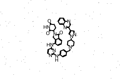 O=C1CCC(N2Cc3c(Nc4ccnc(Nc5ccc(CN6CCC(n7cc(-c8cnc9ccccc9n8)cn7)CC6)cc5)n4)cccc3C2=O)C(=O)N1